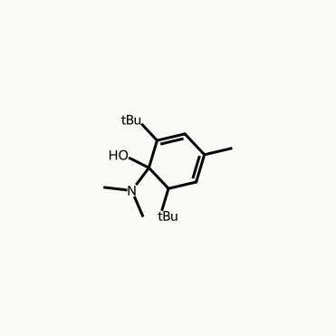 CC1=CC(C(C)(C)C)C(O)(N(C)C)C(C(C)(C)C)=C1